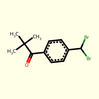 CC(C)(C)C(=O)c1ccc(C(Br)Br)cc1